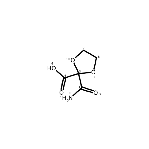 NC(=O)C1(C(=O)O)OCCO1